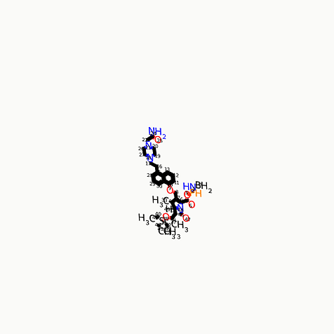 BNPOC(=O)C1=C(COc2cccc3c(CCN4CCN(CC(N)=O)CC4)cccc23)[C@H](C)[C@@H]2[C@@H]([C@@H](C)O[Si](CC)(CC)CC)C(=O)N12